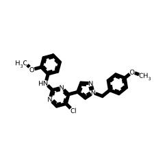 COc1ccc(Cn2cc(-c3nc(Nc4cc[c]cc4OC)ncc3Cl)cn2)cc1